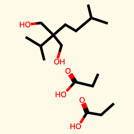 CC(C)CCC(CO)(CO)C(C)C.CCC(=O)O.CCC(=O)O